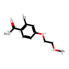 CCc1cc(OCCOC(C)C)ccc1C(=O)OC(C)=O